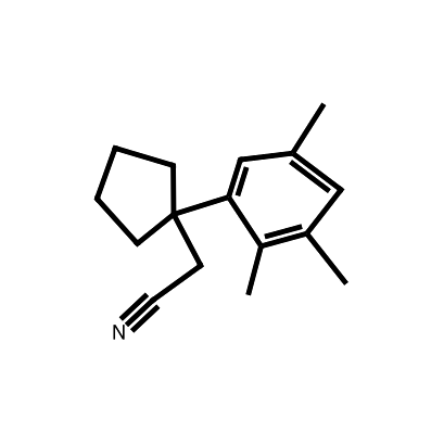 Cc1cc(C)c(C)c(C2(CC#N)CCCC2)c1